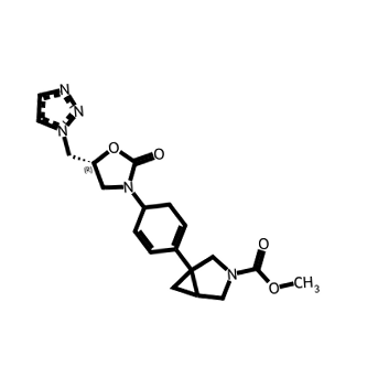 COC(=O)N1CC2CC2(C2=CCC(N3C[C@H](Cn4ccnn4)OC3=O)C=C2)C1